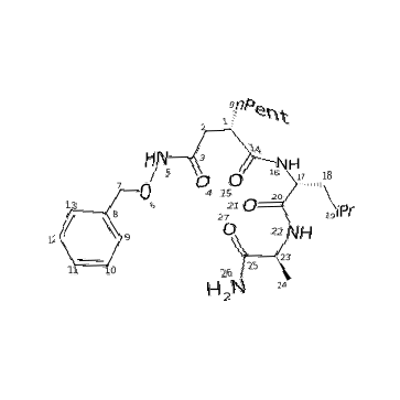 CCCCC[C@@H](CC(=O)NOCc1ccccc1)C(=O)N[C@H](CC(C)C)C(=O)N[C@@H](C)C(N)=O